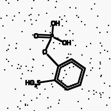 O=P(O)(O)Oc1ccccc1S(=O)(=O)O